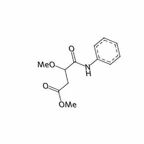 COC(=O)CC(OC)C(=O)Nc1ccccc1